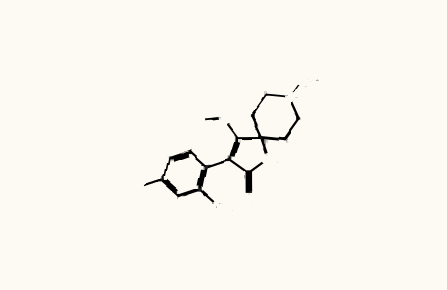 CCOC(=O)OC1=C(c2ccc(C)cc2C)C(=O)OC12CCN(OC)CC2